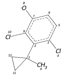 CC1(c2c(Cl)ccc([O])c2Cl)CC1